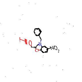 O=[N+]([O-])c1ccc2c(c1)N(Cc1ccccc1)C[C@H](CO)O2